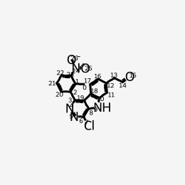 Cc1c(-c2nnc(Cl)c3[nH]c4cc(CC=O)ccc4c23)cccc1[N+](=O)[O-]